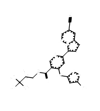 Cc1cc(Nc2cc(-c3ccc4cc(C#N)cnn34)ncc2C(=O)NC[C@@H](F)C(C)(C)O)sn1